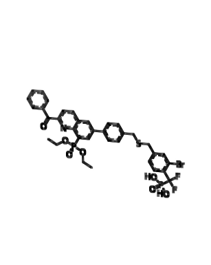 CCOP(=O)(OCC)c1cc(-c2ccc(CSCc3ccc(C(F)(F)P(=O)(O)O)c(Br)c3)cc2)cc2ccc(C(=O)c3ccccc3)nc12